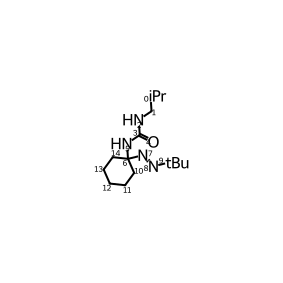 CC(C)CNC(=O)NC1(N=NC(C)(C)C)CCCCC1